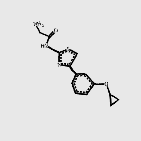 NCC(=O)Nc1nc(-c2cccc(OC3CC3)c2)cs1